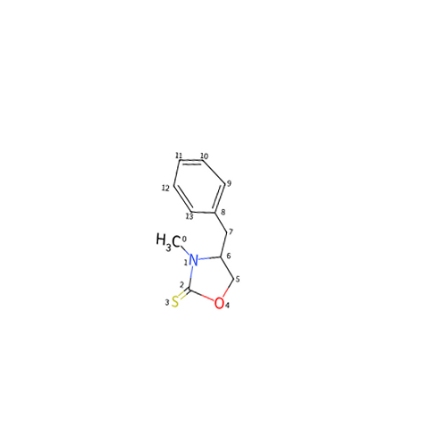 CN1C(=S)OCC1Cc1ccccc1